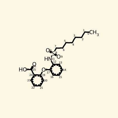 CCCCCCCCS(=O)(=O)Nc1ccccc1Oc1ccccc1C(=O)O